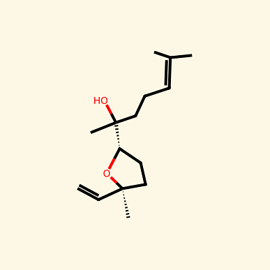 C=C[C@]1(C)CC[C@@H](C(C)(O)CCC=C(C)C)O1